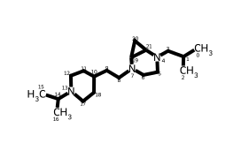 CC(C)CN1CCN(CCC2CCN(C(C)C)CC2)C2CC21